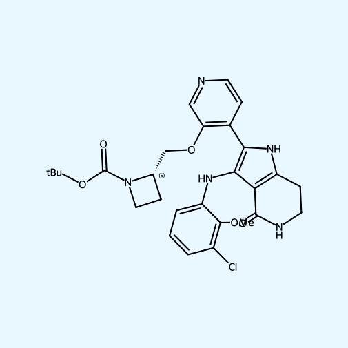 COc1c(Cl)cccc1Nc1c(-c2ccncc2OC[C@@H]2CCN2C(=O)OC(C)(C)C)[nH]c2c1C(=O)NCC2